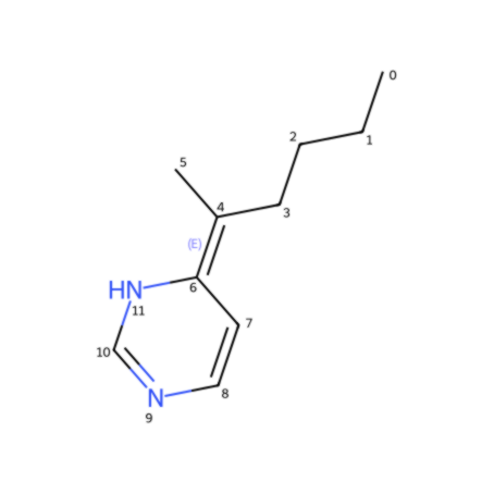 CCCC/C(C)=C1\C=CN=CN1